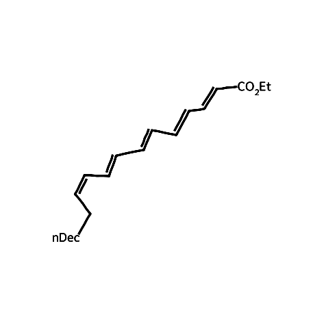 CCCCCCCCCCC/C=C\C=C\C=CC=CC=CC(=O)OCC